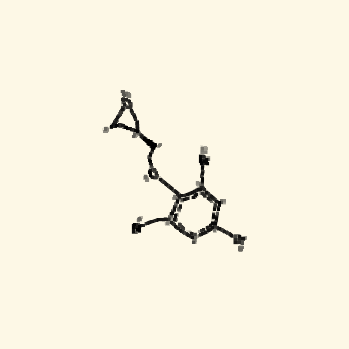 Brc1cc(Br)c(OC[C@H]2CO2)c(Br)c1